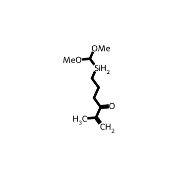 C=C(C)C(=O)CCC[SiH2]C(OC)OC